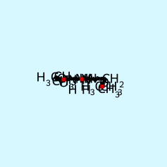 C=C(CCCCNCCNCCNCCNCCCC(=O)OCC(C)(C)C)OCC(C)(C)C